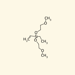 C=C[Si](CC)(OCCOC)OCCOC